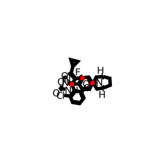 O=c1[nH]c(-c2ccc(N3[C@@H]4CC[C@H]3C[C@@H](OCc3c(-c5c(Cl)cccc5Cl)noc3C3CC3)C4)cc2F)no1